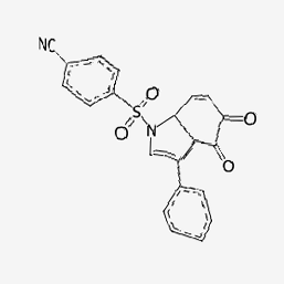 N#Cc1ccc(S(=O)(=O)N2C=C(c3ccccc3)C3C(=O)C(=O)C=CC32)cc1